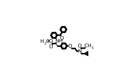 CCC(=O)N(CCCOc1ccc(C[C@H](Nc2ccccc2C(=O)c2ccccc2)C(=O)OC)cc1)CC1CC1